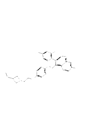 Oc1ccc2c(COc3ccc(OCCN4CC(CF)C4)cc3)c(-c3ccc(C(F)(F)F)cc3F)cnc2c1